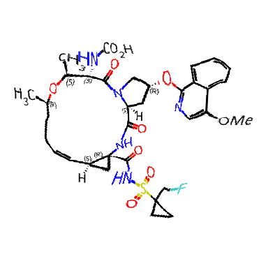 COc1cnc(O[C@@H]2C[C@H]3C(=O)N[C@]4(C(=O)NS(=O)(=O)C5(CF)CC5)C[C@H]4C=CCC[C@@H](C)O[C@@H](C)[C@H](NC(=O)O)C(=O)N3C2)c2ccccc12